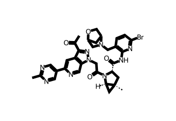 CC(=O)c1nn(CC(=O)N2[C@H](C(=O)Nc3nc(Br)ccc3CN3CC4CC3CO4)C[C@@]3(C)C[C@@H]23)c2cnc(-c3cnc(C)nc3)cc12